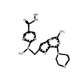 Cc1nc(N2CCOCC2)c2sc(CN(C)c3ncc(C(=O)NO)cn3)cc2n1